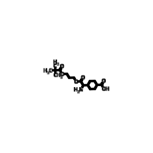 CC(C)(C)C(=O)OCCCOC(=O)C(N)C1CCC(C(=O)O)CC1